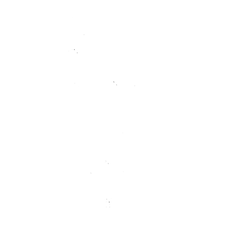 O=C1CCC(N2Cc3c(CN4C5CNCC4C5)cccc3C2=O)C(=O)N1